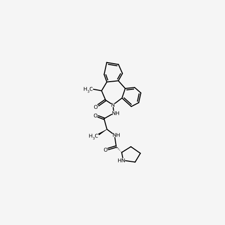 CC1C(=O)N(NC(=O)[C@H](C)NC(=O)[C@@H]2CCCN2)c2ccccc2-c2ccccc21